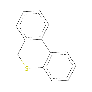 c1ccc2c(c1)CSc1ccccc1-2